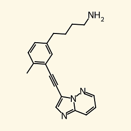 Cc1ccc(CCCCN)cc1C#Cc1cnc2cccnn12